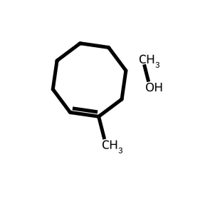 C/C1=C/CCCCCC1.CO